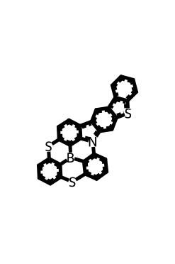 c1cc2c3c(c1)Sc1ccc4c5cc6c(cc5n5c4c1B3c1c(cccc1-5)S2)sc1ccccc16